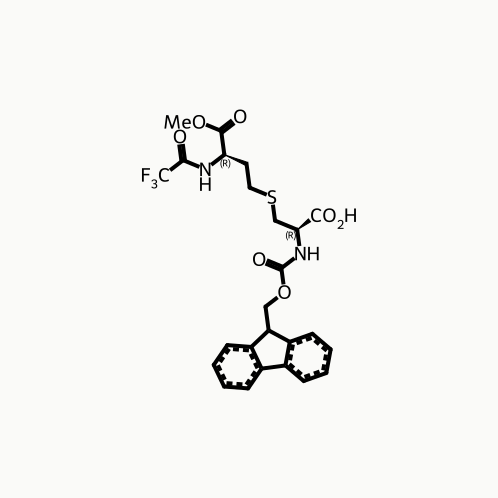 COC(=O)[C@@H](CCSC[C@H](NC(=O)OCC1c2ccccc2-c2ccccc21)C(=O)O)NC(=O)C(F)(F)F